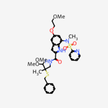 COCCOc1cc(N(C)S(=O)(=O)c2ccccn2)c2[nH]c(C(=O)NCC(C)(SCc3ccccc3)C(OC)OC)cc2c1